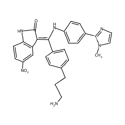 Cn1ccnc1-c1ccc(N/C(=C2\C(=O)Nc3ccc([N+](=O)[O-])cc32)c2ccc(CCCN)cc2)cc1